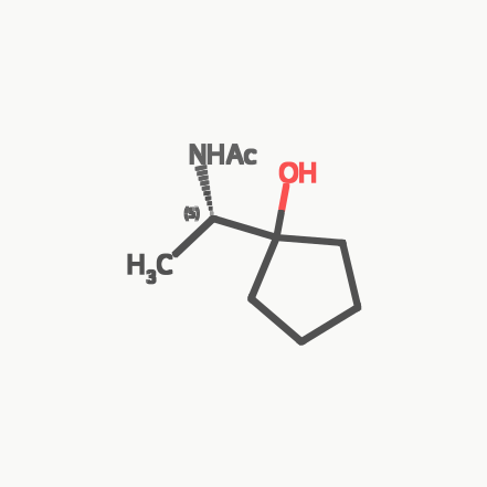 CC(=O)N[C@@H](C)C1(O)CCCC1